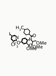 COCC(COC)N(C(=O)C1CCC(C)CC1)c1ccc(Oc2ncc(I)cc2C(F)(F)F)cc1C(=O)OC